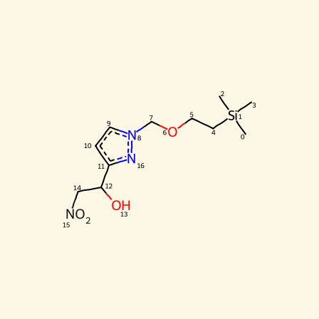 C[Si](C)(C)CCOCn1ccc(C(O)C[N+](=O)[O-])n1